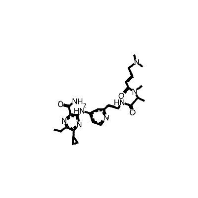 CCc1nc(C(N)=O)c(Nc2ccnc(CCNC(=O)C(C)N(C)C(=O)/C=C/CN(C)C)c2)nc1C1CC1